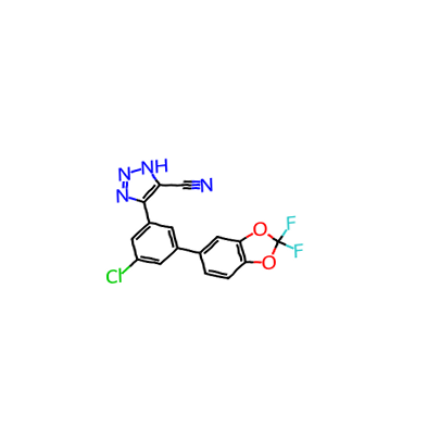 N#Cc1[nH]nnc1-c1cc(Cl)cc(-c2ccc3c(c2)OC(F)(F)O3)c1